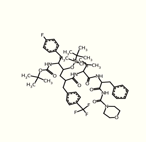 CC(C)C(NC(=O)C(Cc1ccc(C(F)(F)F)cc1)CC(O[Si](C)(C)C(C)(C)C)C(Cc1ccc(F)cc1)NC(=O)OC(C)(C)C)C(=O)NC(Cc1ccccc1)C(=O)NC(=O)N1CCOCC1